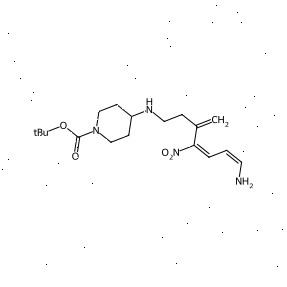 C=C(CCNC1CCN(C(=O)OC(C)(C)C)CC1)/C(=C\C=C/N)[N+](=O)[O-]